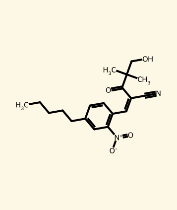 CCCCCc1ccc(C=C(C#N)C(=O)C(C)(C)CO)c([N+](=O)[O-])c1